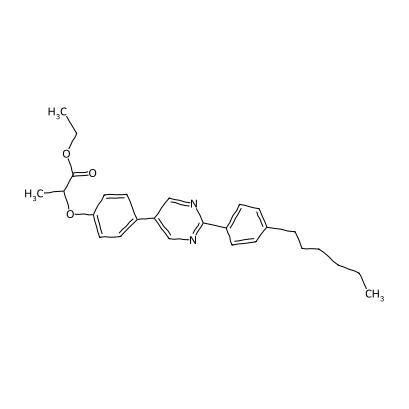 CCCCCCc1ccc(-c2ncc(-c3ccc(OC(C)C(=O)OCC)cc3)cn2)cc1